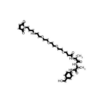 C[C@H](NC(=O)CCOCCOCCOCCOCCNCCCN1C(=O)C=CC1=O)C(=O)N[C@@H](C)C(=O)Nc1ccc(CO)cc1